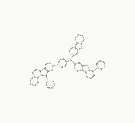 c1ccc(-c2cccc3c2sc2cc(N(c4ccc(-c5ccc6c7ccc8ccccc8c7n(-c7ccccc7)c6c5)cc4)c4ccc5c(c4)sc4ccccc45)ccc23)cc1